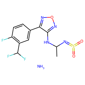 CC(N=S(=O)=O)Nc1nonc1-c1ccc(F)c(C(F)F)c1.N